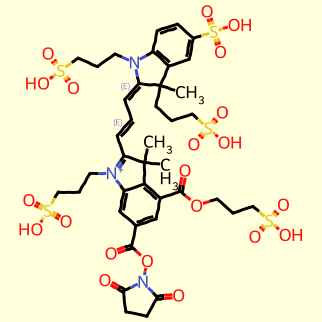 CC1(C)C(/C=C/C=C2/N(CCCS(=O)(=O)O)c3ccc(S(=O)(=O)O)cc3C2(C)CCCS(=O)(=O)O)=[N+](CCCS(=O)(=O)O)c2cc(C(=O)ON3C(=O)CCC3=O)cc(C(=O)OCCCS(=O)(=O)O)c21